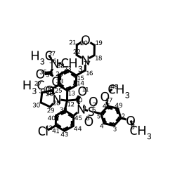 COc1ccc(S(=O)(=O)N2C(=O)C(c3cc(CN4CCOCC4)ccc3OC)(N3CCC[C@@H]3OC(=O)N(C)C)c3cc(Cl)ccc32)c(OC)c1